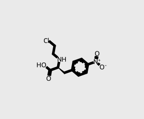 O=C(O)[C@H](Cc1ccc([N+](=O)[O-])cc1)NCCCl